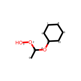 CC(OO)OC1CCCCC1